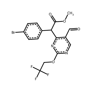 COC(=O)C(c1ccc(Br)cc1)c1nc(OCC(F)(F)F)ncc1C=O